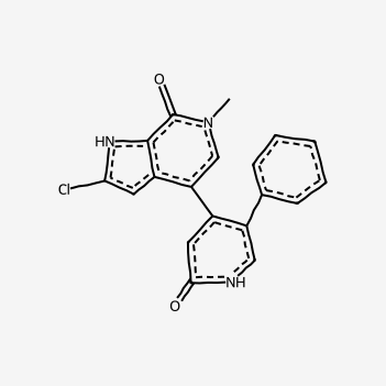 Cn1cc(-c2cc(=O)[nH]cc2-c2ccccc2)c2cc(Cl)[nH]c2c1=O